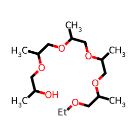 CCOCC(C)OCC(C)OCC(C)OCC(C)OCC(C)O